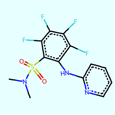 CN(C)S(=O)(=O)c1c(F)c(F)c(F)c(F)c1Nc1ccccn1